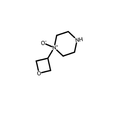 [O-][N+]1(C2COC2)CCNCC1